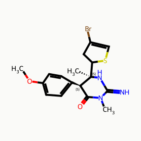 COc1ccc([C@@H]2C(=O)N(C)C(=N)N[C@]2(C)C2CC(Br)=CS2)cc1